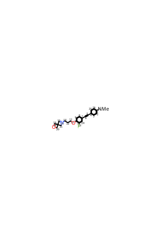 CNc1ccc(C#Cc2ccc(OCCCN3CC4(COC4)C3)c(F)c2)cc1